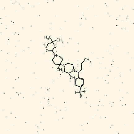 CCC[C@@H](c1ccc(C(F)(F)F)cc1)N1CCN(C2(C)CCN(C(=O)OC(C)(C)C)CC2)C[C@@H]1C